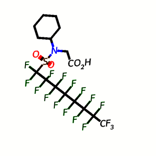 O=C(O)CN(C1CCCCC1)S(=O)(=O)C(F)(F)C(F)(F)C(F)(F)C(F)(F)C(F)(F)C(F)(F)C(F)(F)C(F)(F)F